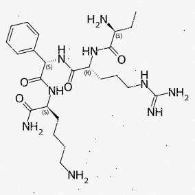 CC[C@H](N)C(=O)N[C@H](CCCNC(=N)N)C(=O)N[C@H](C(=O)N[C@@H](CCCCN)C(N)=O)c1ccccc1